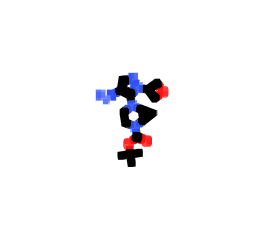 CC(C)(C)OC(=O)N1CCN(c2c(N)cnn2C2COC2)C2CC21